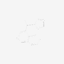 CC(c1c[nH]cn1)c1cncc2ccccc12